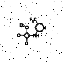 CCOc1c(Nc2cncc(C(F)(F)F)c2)c(=O)c1=O